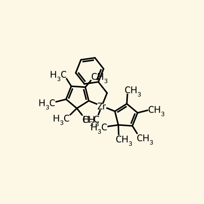 CC1=C(C)C(C)(C)[C]([Zr]([CH3])([CH2]c2ccccc2)[C]2=C(C)C(C)=C(C)C2(C)C)=C1C